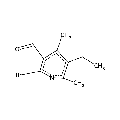 CCc1c(C)nc(Br)c(C=O)c1C